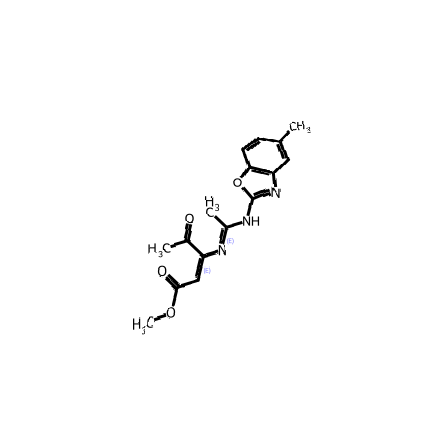 COC(=O)/C=C(/N=C(\C)Nc1nc2cc(C)ccc2o1)C(C)=O